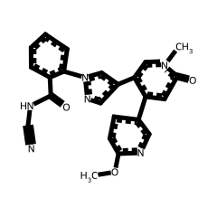 COc1ccc(-c2cc(=O)n(C)cc2-c2cnn(-c3ccccc3C(=O)NC#N)c2)cn1